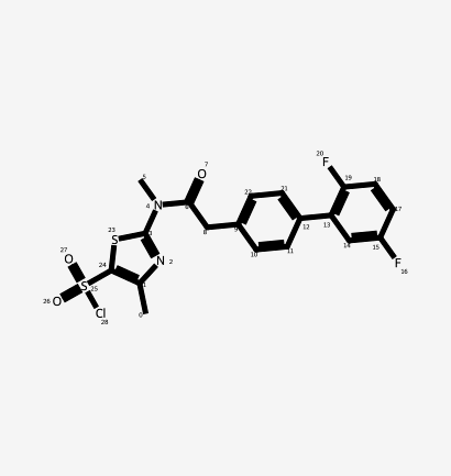 Cc1nc(N(C)C(=O)Cc2ccc(-c3cc(F)ccc3F)cc2)sc1S(=O)(=O)Cl